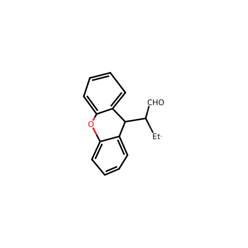 C[CH]C(C=O)C1c2ccccc2Oc2ccccc21